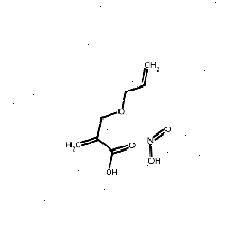 C=CCOCC(=C)C(=O)O.O=NO